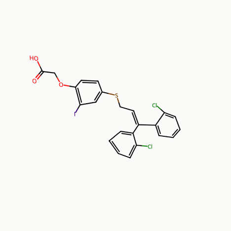 O=C(O)COc1ccc(SCC=C(c2ccccc2Cl)c2ccccc2Cl)cc1I